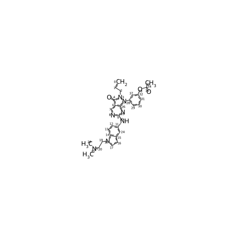 C=CCn1c(=O)c2cnc(Nc3ccc4c(ccn4CCN(C)C)c3)nc2n1-c1cccc(OC(C)=O)c1